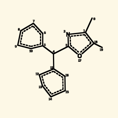 Cc1nc(C(c2ccccc2)c2ccccc2)oc1C